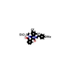 CCOC(=O)C(C)N1C(=O)c2ccccc2C(C(=O)NCCc2ccc(OC)cc2)C1c1cc(C(F)(F)F)cc(C(F)(F)F)c1